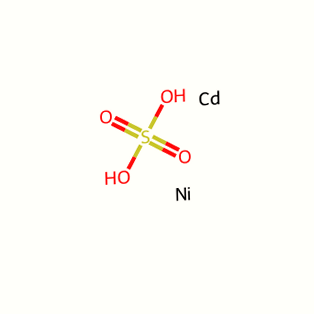 O=S(=O)(O)O.[Cd].[Ni]